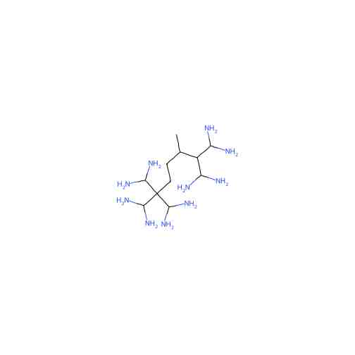 CC(CCC(C(N)N)(C(N)N)C(N)N)C(C(N)N)C(N)N